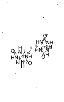 O=C1N[C@H]2NC(=O)N[C@@]2(CCCCC[C@]23NC(=O)N[C@H]2NC(=O)N3)N1